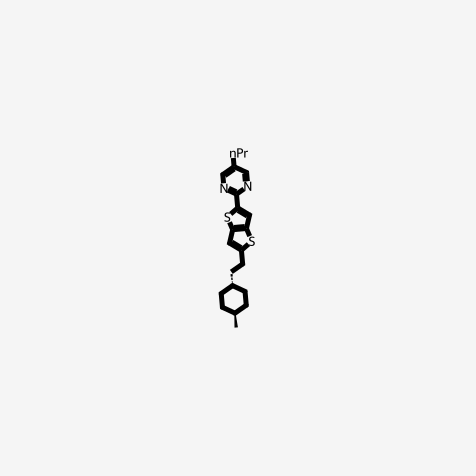 CCCc1cnc(-c2cc3sc(CC[C@H]4CC[C@H](C)CC4)cc3s2)nc1